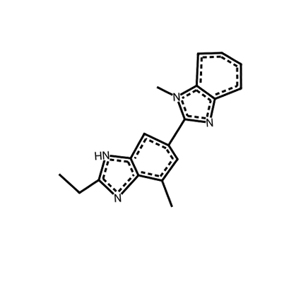 CCc1nc2c(C)cc(-c3nc4ccccc4n3C)cc2[nH]1